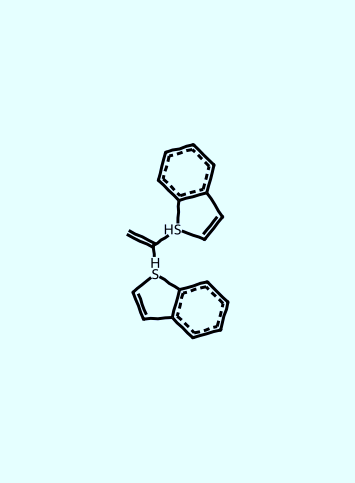 C=C([SH]1C=Cc2ccccc21)[SH]1C=Cc2ccccc21